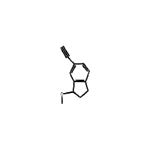 C#Cc1ccc2c(c1)C(OC)CC2